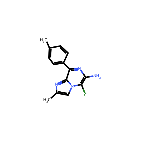 Cc1ccc(-c2nc(N)c(Cl)n3cc(C)nc23)cc1